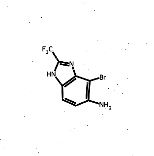 Nc1ccc2[nH]c(C(F)(F)F)nc2c1Br